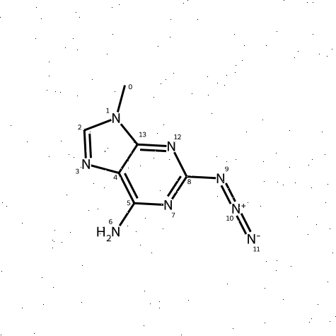 Cn1cnc2c(N)nc(N=[N+]=[N-])nc21